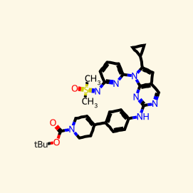 CC(C)(C)OC(=O)N1CC=C(c2ccc(Nc3ncc4cc(C5CC5)n(-c5cccc(N=S(C)(C)=O)n5)c4n3)cc2)CC1